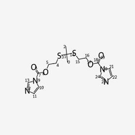 CC(C)(SCCOC(=O)n1ccnc1)SCCOC(=O)n1ccnc1